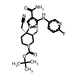 CC(C)(C)OC(=O)N1CC[C@@](CC#N)(n2cc(C(N)=O)c(Nc3ccc(F)nc3)n2)[C@@H](F)C1